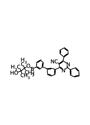 CC(C)(O)C(C)(C)OBc1cccc(-c2cccc(-c3nc(-c4ccccc4)nc(-c4ccccc4)c3C#N)c2)c1